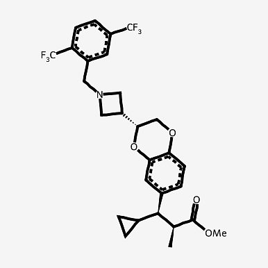 COC(=O)[C@@H](C)[C@H](c1ccc2c(c1)O[C@H](C1CN(Cc3cc(C(F)(F)F)ccc3C(F)(F)F)C1)CO2)C1CC1